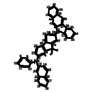 CC1(C)c2cc(N(c3ccccc3)c3ccc4ccccc4c3)ccc2-c2ccc(-n3c4ccccc4c4cc5ccccc5cc43)cc21